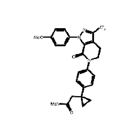 CNC(=O)CC1(c2ccc(N3CCc4c(C(F)(F)F)nn(-c5ccc(OC)cc5)c4C3=O)cc2)CC1